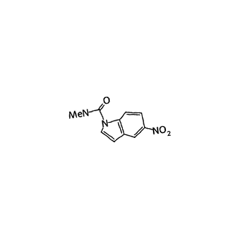 CNC(=O)n1ccc2cc([N+](=O)[O-])ccc21